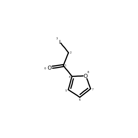 O=C(CI)c1ccco1